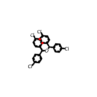 Clc1ccc(C(OC(c2ccc(Cl)cc2)c2ccc(Cl)cc2)c2ccc(Cl)cc2)cc1